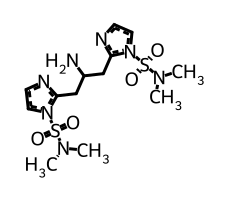 CN(C)S(=O)(=O)n1ccnc1CC(N)Cc1nccn1S(=O)(=O)N(C)C